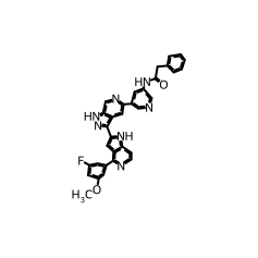 COc1cc(F)cc(-c2nccc3[nH]c(-c4n[nH]c5cnc(-c6cncc(NC(=O)Cc7ccccc7)c6)cc45)cc23)c1